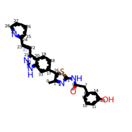 Cc1nc(NC(=O)Cc2cccc(O)c2)sc1-c1ccc2c(/C=C/c3ccccn3)n[nH]c2c1